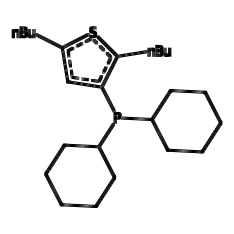 CCCCc1cc(P(C2CCCCC2)C2CCCCC2)c(CCCC)s1